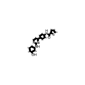 O=C(Nc1ccc(-c2ccnc(Nc3cccc(O)c3)n2)cc1)c1cccs1